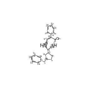 O=C1NC(C2CCN(Cc3ccccc3)C2)NC=C1c1ccccc1